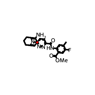 COC(=O)c1cc(F)c(C)cc1NC(=O)c1ccc(N2C3=CCC(N)=C2CCC3)nn1